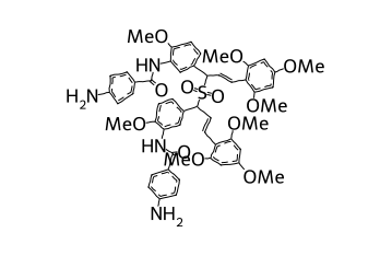 COc1cc(OC)c(C=CC(c2ccc(OC)c(NC(=O)c3ccc(N)cc3)c2)S(=O)(=O)C(C=Cc2c(OC)cc(OC)cc2OC)c2ccc(OC)c(NC(=O)c3ccc(N)cc3)c2)c(OC)c1